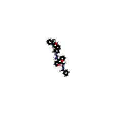 C/C(=C\C=C(/C)c1c2ccccc2c(/C(C)=C/C=C2\Cc3ccc4cc5oc6ccccc6c5cc4c3C2(C)C)c2ccccc12)c1ccccc1